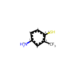 Nc1ccc(S)c(C(F)(F)F)c1